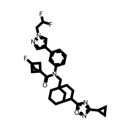 O=C(N(CC12CCCC(C1)C(c1nc(C3CC3)no1)CC2)c1cccc(-c2cnn(CC(F)F)c2)c1)C12CC(F)(C1)C2